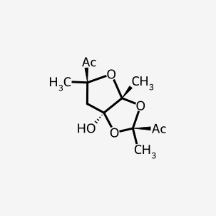 CC(=O)[C@]1(C)O[C@@]2(C)O[C@](C)(C(C)=O)C[C@]2(O)O1